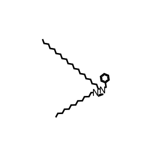 CCCCCCCCCCCCCCCCCCCC1N(CCCCCCCCCCCC)C=CN1Cc1ccccc1